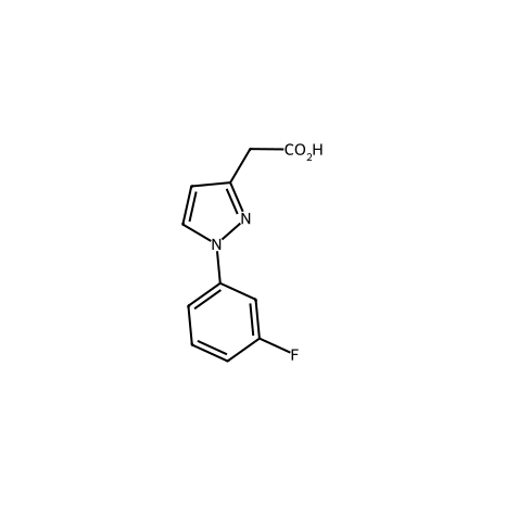 O=C(O)Cc1ccn(-c2cccc(F)c2)n1